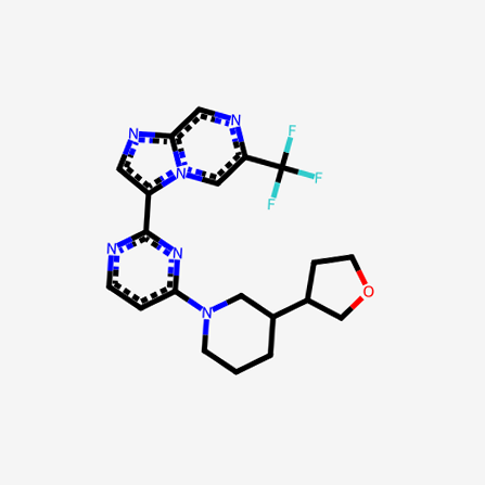 FC(F)(F)c1cn2c(-c3nccc(N4CCCC(C5CCOC5)C4)n3)cnc2cn1